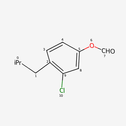 CC(C)Cc1ccc(OC=O)cc1Cl